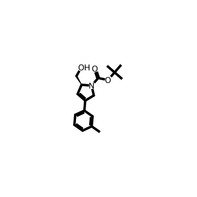 Cc1cccc(C2=C[C@@H](CO)N(C(=O)OC(C)(C)C)C2)c1